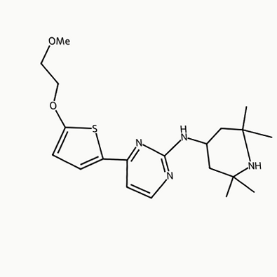 COCCOc1ccc(-c2ccnc(NC3CC(C)(C)NC(C)(C)C3)n2)s1